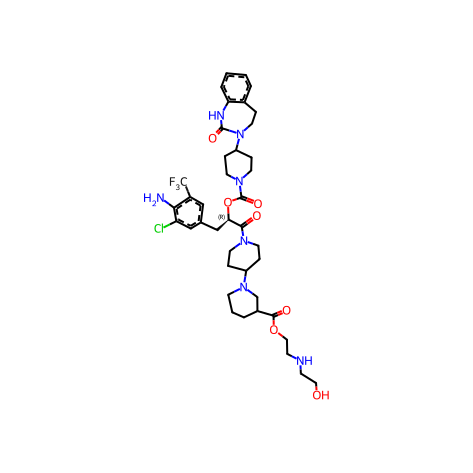 Nc1c(Cl)cc(C[C@@H](OC(=O)N2CCC(N3CCc4ccccc4NC3=O)CC2)C(=O)N2CCC(N3CCCC(C(=O)OCCNCCO)C3)CC2)cc1C(F)(F)F